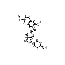 CCN1CCc2cc(OC)c(Nc3ncc4cnn([C@H]5CC[C@H](O)CC5)c4n3)cc2C1